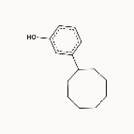 Oc1cccc(C2CCCCCCC2)c1